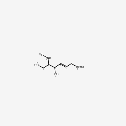 CCCCCC/C=C/C(O)C(CO)NF